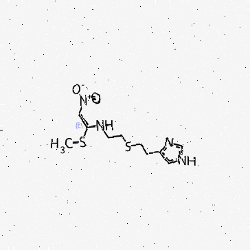 CS/C(=C/[N+](=O)[O-])NCCSCCc1c[nH]cn1